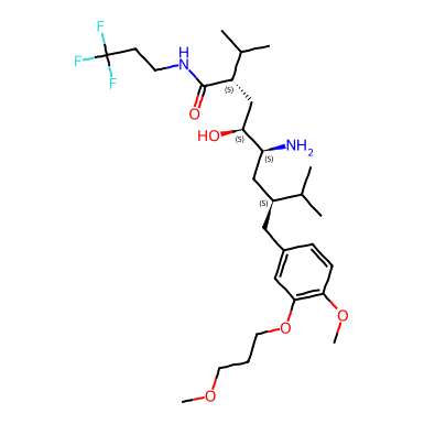 COCCCOc1cc(C[C@@H](C[C@H](N)[C@@H](O)C[C@H](C(=O)NCCC(F)(F)F)C(C)C)C(C)C)ccc1OC